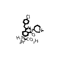 CC(C)[C@H](N)C(=O)O.CN1CCCC(n2nc(Cc3ccc(Cl)cc3)c3ccccc3c2=O)CC1